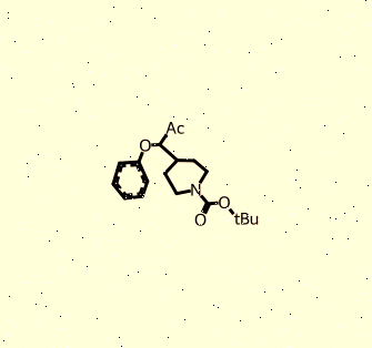 CC(=O)C(Oc1ccccc1)C1CCN(C(=O)OC(C)(C)C)CC1